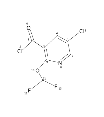 O=C(Cl)c1cc(Cl)cnc1OC(F)F